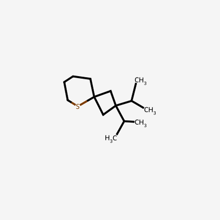 CC(C)C1(C(C)C)CC2(CCCCS2)C1